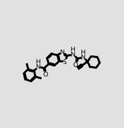 C#CC1(NC(=O)Nc2nc3ccc(C(=O)Nc4c(C)cccc4C)cc3s2)CCCCC1